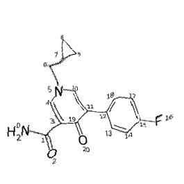 NC(=O)c1cn(CC2CC2)cc(-c2ccc(F)cc2)c1=O